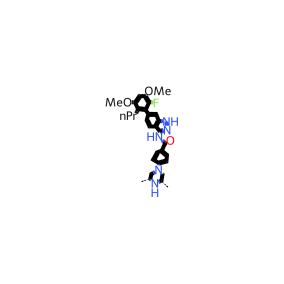 CCCc1c(OC)cc(OC)c(F)c1-c1ccc2c(NC(=O)c3ccc(N4C[C@@H](C)N[C@@H](C)C4)cc3)n[nH]c2c1